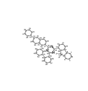 C[Si]1(C)c2ccccc2-c2cccc(-c3nc(-c4ccc5cc(-c6ccccc6)ccc5c4)nc(-c4ccccc4-c4ccccc4)n3)c21